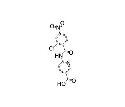 O=C(O)c1ccc(NC(=O)c2ccc([N+](=O)[O-])cc2Cl)nc1